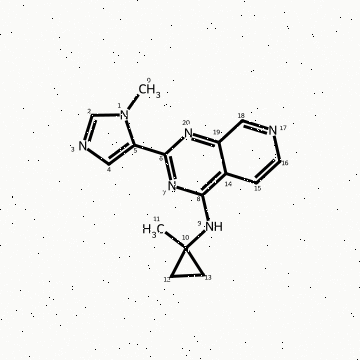 Cn1cncc1-c1nc(NC2(C)CC2)c2ccncc2n1